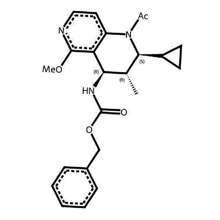 COc1nccc2c1[C@H](NC(=O)OCc1ccccc1)[C@@H](C)[C@H](C1CC1)N2C(C)=O